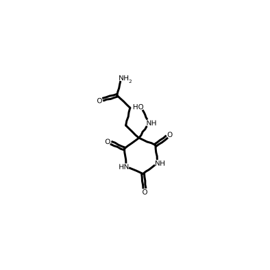 NC(=O)CCC1(NO)C(=O)NC(=O)NC1=O